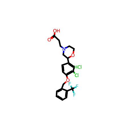 Cl.O=C(O)CCN1CCOC(c2ccc(OCc3ccccc3C(F)(F)F)c(Cl)c2)C1